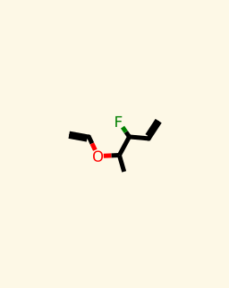 C=COC(C)C(F)C=C